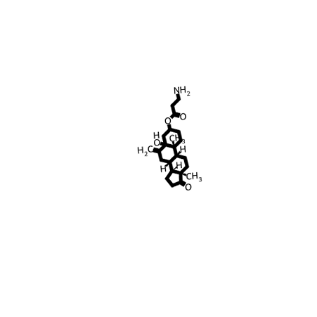 C=C1C[C@@H]2[C@@H](CC[C@]3(C)C(=O)CC[C@@H]23)[C@@]2(C)CCC(OC(=O)CCN)CC12O